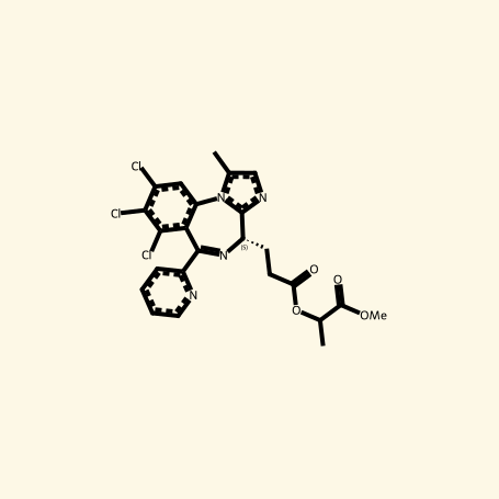 COC(=O)C(C)OC(=O)CC[C@@H]1N=C(c2ccccn2)c2c(cc(Cl)c(Cl)c2Cl)-n2c(C)cnc21